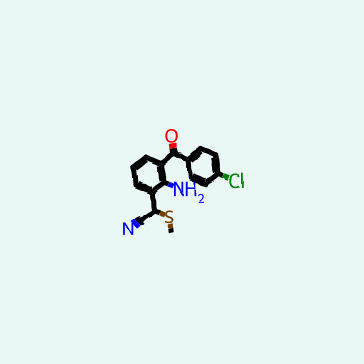 CSC(C#N)c1cccc(C(=O)c2ccc(Cl)cc2)c1N